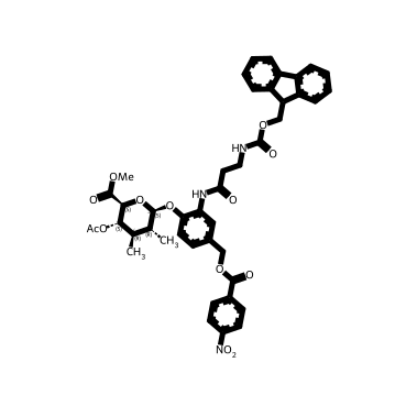 COC(=O)[C@H]1O[C@@H](Oc2ccc(COC(=O)c3ccc([N+](=O)[O-])cc3)cc2NC(=O)CCNC(=O)OCC2c3ccccc3-c3ccccc32)[C@H](C)[C@@H](C)[C@@H]1OC(C)=O